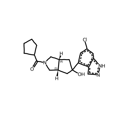 O=C(C1CCCC1)N1C[C@@H]2CC(O)(c3cc(Cl)cc4[nH]ncc34)C[C@@H]2C1